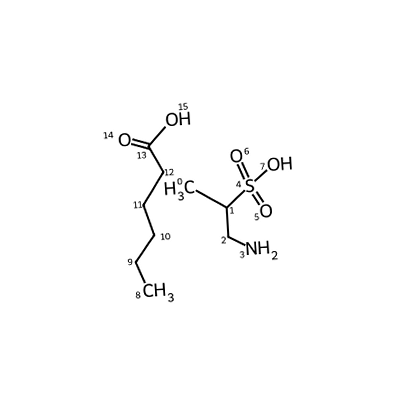 CC(CN)S(=O)(=O)O.CCCCCC(=O)O